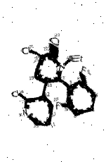 CCn1c(-c2c(F)cccc2F)c(-c2cccnc2Cl)cc(Cl)c1=O